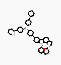 c1ccc(-c2ccc(N(c3ccc(-c4ccc5c(c4)c4ccc6ccn(-c7ccccc7)c6c4n5-c4ccccc4)cc3)c3ccc(-c4ccccn4)cc3)cc2)cc1